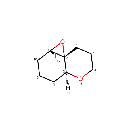 C1C[C@@H]2OCCC[C@@]23O[C@H]3C1